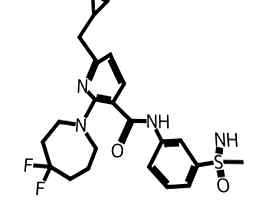 CS(=N)(=O)c1cccc(NC(=O)c2ccc(CC3CC3)nc2N2CCCC(F)(F)CC2)c1